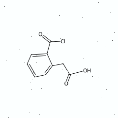 O=C(O)Cc1ccccc1C(=O)Cl